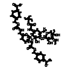 CN[C@@H]1[C@@H](O)[C@@H](O[C@H]2[C@H](N)C[C@H](NC(=O)OC(C)(C)C)C([C@H]3OC(CNC(=O)OCc4ccc([N+](=O)[O-])cc4)=CC[C@H]3NC(=O)OCc3ccc([N+](=O)[O-])cc3)[C@@H]2O)OC[C@]1(C)O